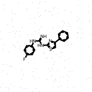 N=C(Nc1ccc(F)cc1)Nc1nc(-c2ccccc2)cs1